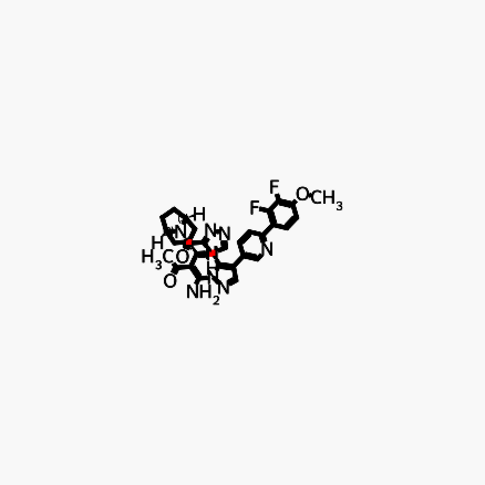 COc1ccc(-c2ccc(-c3cnn4c(N)c(C(C)=O)c([C@H]5C[C@H]6CC[C@@H](C5)N6C(=O)c5nnc[nH]5)nc34)cn2)c(F)c1F